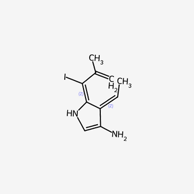 C=C(C)/C(I)=c1/[nH]cc(N)/c1=C/C